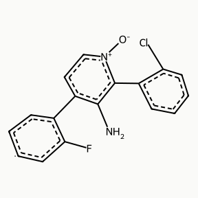 Nc1c(-c2cc[c]cc2F)cc[n+]([O-])c1-c1ccccc1Cl